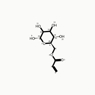 C=CC(=O)OC[C@H]1O[C@H](O)C(O)C(O)[C@@H]1O